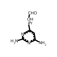 CC(C)c1cc(N)nc(N)n1.O=CO